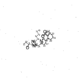 CCCCCc1nc(C(=O)CC)nn1Cc1ccc(-c2ccccc2C(=O)O)cn1